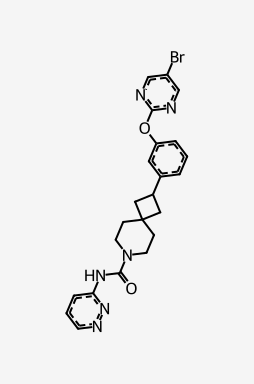 O=C(Nc1cccnn1)N1CCC2(CC1)CC(c1cccc(Oc3ncc(Br)cn3)c1)C2